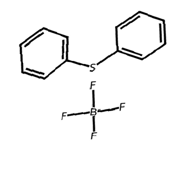 F[B-](F)(F)F.c1ccc(Sc2ccccc2)cc1